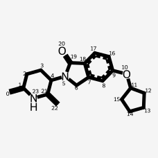 C=C1CCC(N2Cc3cc(OC4CCCC4)ccc3C2=O)C(=C)N1